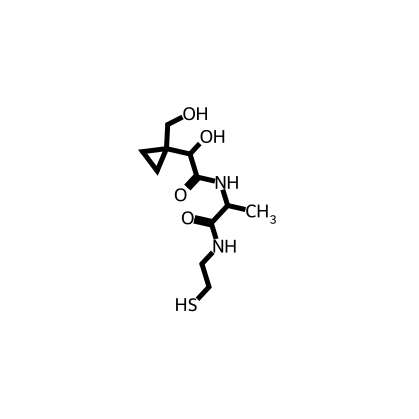 CC(NC(=O)C(O)C1(CO)CC1)C(=O)NCCS